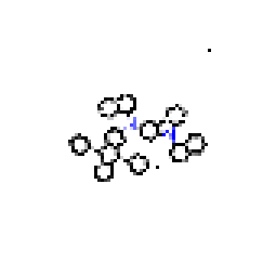 c1ccc(-c2c3ccccc3c(-c3ccccc3)c3cc(N(c4ccc5c(c4)c4ccccc4n5-c4cccc5ccccc45)c4cccc5ccccc45)ccc23)cc1